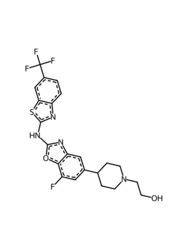 OCCN1CCC(c2cc(F)c3oc(Nc4nc5ccc(C(F)(F)F)cc5s4)nc3c2)CC1